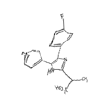 CC(C(=O)O)c1nc(-c2ccc(F)cc2)c(-c2ccncc2)[nH]1